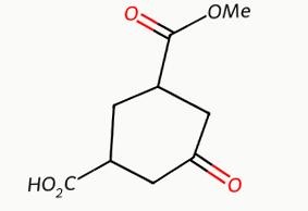 COC(=O)C1CC(=O)CC(C(=O)O)C1